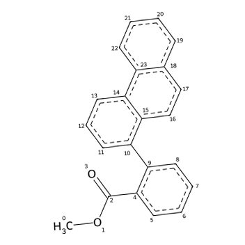 COC(=O)c1ccccc1-c1cccc2c1ccc1ccccc12